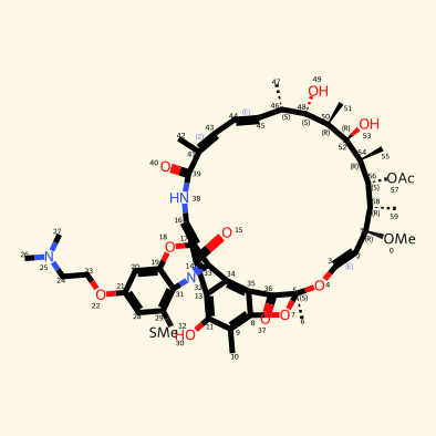 CO[C@H]1/C=C/O[C@@]2(C)Oc3c(C)c(O)c4c(=O)c(c5oc6cc(OCCN(C)C)cc(SC)c6nc-5c4c3C2=O)NC(=O)/C(C)=C\C=C\[C@H](C)[C@H](O)[C@@H](C)[C@@H](O)[C@@H](C)[C@H](OC(C)=O)[C@@H]1C